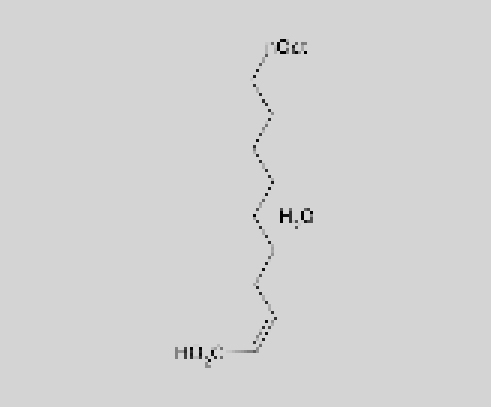 CCCCCCCCCCCCCCC/C=C\C(=O)O.O